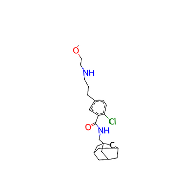 COCCNCCCc1ccc(Cl)c(C(=O)NCC23CC4CC(CC(C4)C2)C3)c1